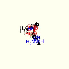 CC(C)OC(=O)[C@H](C)N[P@@](=O)(OC[C@H]1O[C@@H](n2cnc3c(NC4CC4)nc(N)nc32)[C@](C)(F)[C@@H]1O)Oc1ccccc1